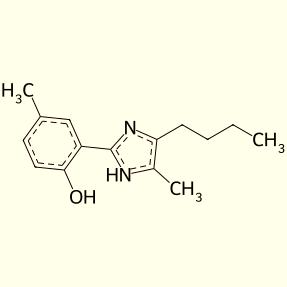 CCCCc1nc(-c2cc(C)ccc2O)[nH]c1C